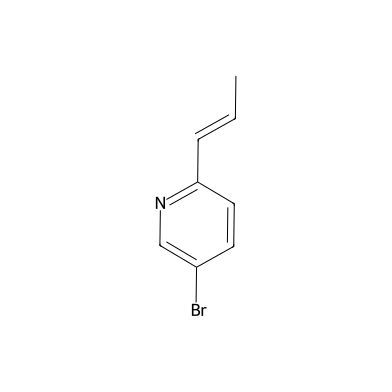 CC=Cc1ccc(Br)cn1